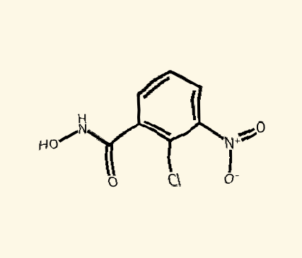 O=C(NO)c1cccc([N+](=O)[O-])c1Cl